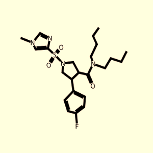 CCCCN(CCCC)C(=O)C1CN(S(=O)(=O)c2cn(C)cn2)CC1c1ccc(F)cc1